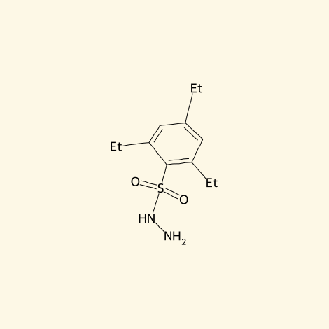 CCc1cc(CC)c(S(=O)(=O)NN)c(CC)c1